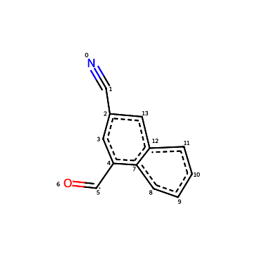 N#Cc1cc([C]=O)c2ccccc2c1